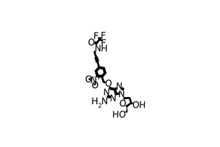 Nc1nc(OCc2ccc(C#CCNC(=O)C(F)(F)F)cc2[N+](=O)[O-])c2ncn([C@H]3CC(O)[C@@H](CO)O3)c2n1